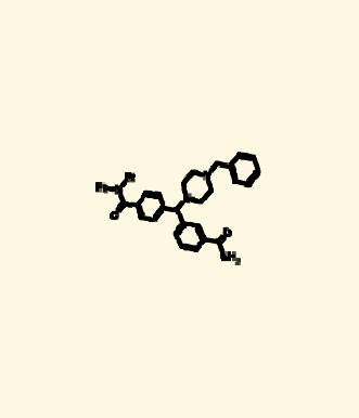 CCN(CC)C(=O)c1ccc(C(c2cccc(C(N)=O)c2)N2CCN(Cc3ccccc3)CC2)cc1